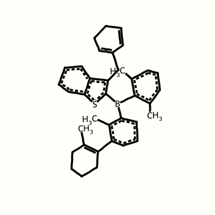 CC1=C(c2cccc(B(c3sc4ccccc4c3CC3=CCCC=C3)c3c(C)cccc3C)c2C)CCCC1